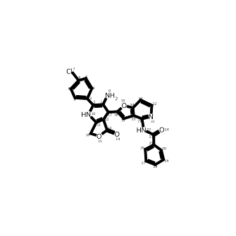 NC1=C(c2ccc(Cl)cc2)NC2=C(C(=O)OC2)C1c1cc2c(NC(=O)c3ccccc3)nccc2o1